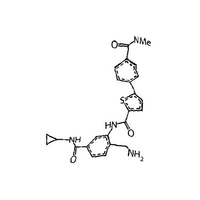 CNC(=O)c1ccc(-c2ccc(C(=O)Nc3cc(C(=O)NC4CC4)ccc3CN)s2)cc1